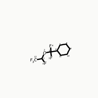 FC(OC(F)(F)C1CCCCC1)C(F)(F)F